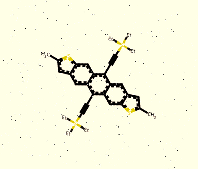 CCS(C#Cc1c2cc3cc(C)sc3cc2c(C#CS(CC)(CC)CC)c2cc3cc(C)sc3cc12)(CC)CC